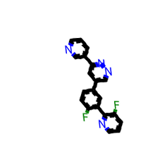 Fc1ccc(-c2cnnc(-c3cccnc3)c2)cc1-c1ncccc1F